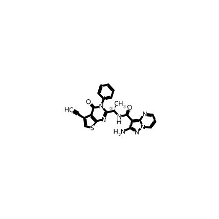 C#Cc1csc2nc([C@H](C)NC(=O)c3c(N)nn4cccnc34)n(-c3ccccc3)c(=O)c12